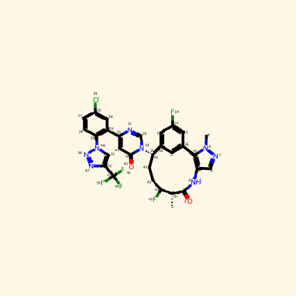 C[C@H]1C(=O)Nc2cnn(C)c2-c2cc(F)cc(c2)[C@@H](n2cnc(-c3cc(Cl)ccc3-n3cc(C(F)(F)F)nn3)cc2=O)CCC1F